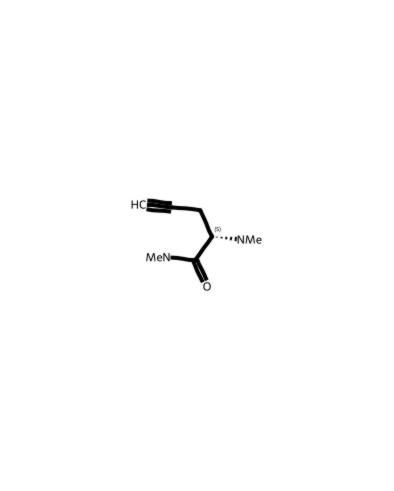 C#CC[C@H](NC)C(=O)NC